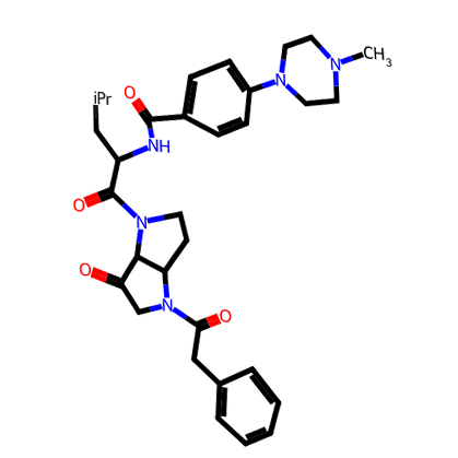 CC(C)CC(NC(=O)c1ccc(N2CCN(C)CC2)cc1)C(=O)N1CCC2C1C(=O)CN2C(=O)Cc1ccccc1